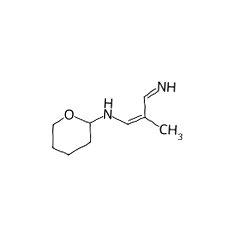 C/C(C=N)=C/NC1CCCCO1